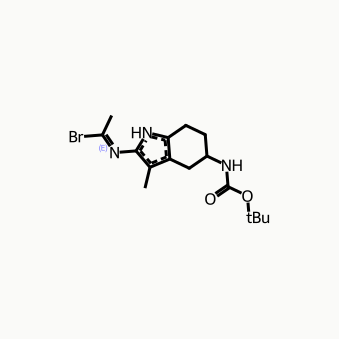 C/C(Br)=N\c1[nH]c2c(c1C)CC(NC(=O)OC(C)(C)C)CC2